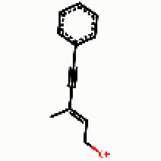 CC(C#Cc1ccccc1)=CCO